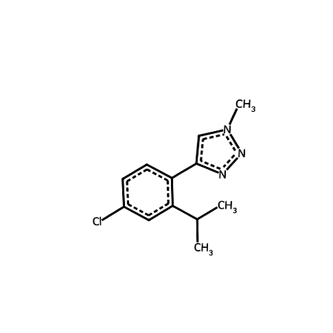 CC(C)c1cc(Cl)ccc1-c1cn(C)nn1